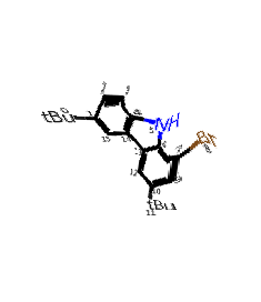 CC(C)(C)c1ccc2[nH]c3c(Br)cc(C(C)(C)C)cc3c2c1